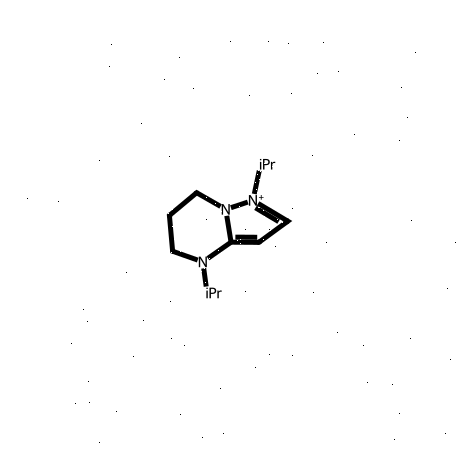 CC(C)N1CCCn2c1cc[n+]2C(C)C